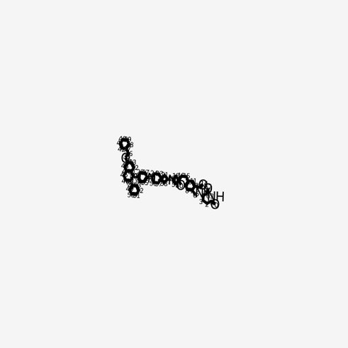 O=C1CCC(N2Cc3cc4c(cc3C2=O)CCC2(CN(C3CC5(CCN(c6ccc([C@@H]7c8ccc(OCc9ccccc9)cc8CC[C@@H]7c7ccccc7)cc6)CC5)C3)C2)O4)C(=O)N1